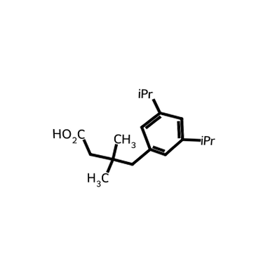 CC(C)c1cc(CC(C)(C)CC(=O)O)cc(C(C)C)c1